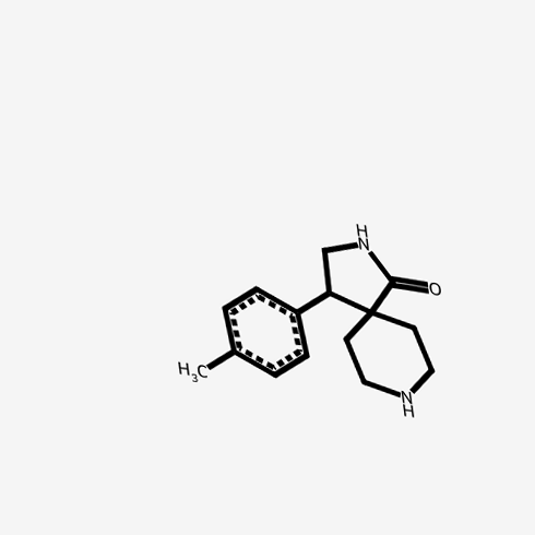 Cc1ccc(C2CNC(=O)C23CCNCC3)cc1